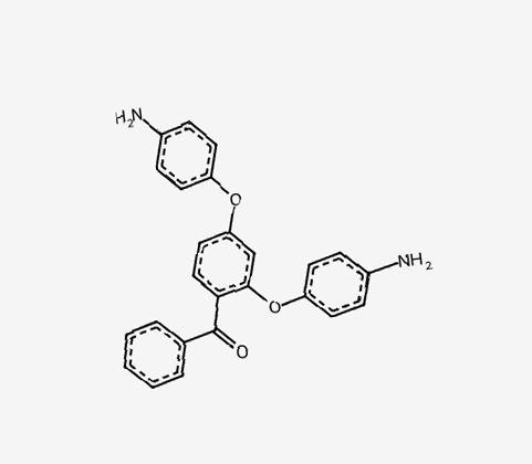 Nc1ccc(Oc2ccc(C(=O)c3ccccc3)c(Oc3ccc(N)cc3)c2)cc1